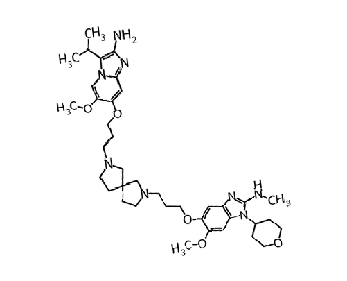 CNc1nc2cc(OCCCN3CCC4(CCN(CCCOc5cc6nc(N)c(C(C)C)n6cc5OC)C4)C3)c(OC)cc2n1C1CCOCC1